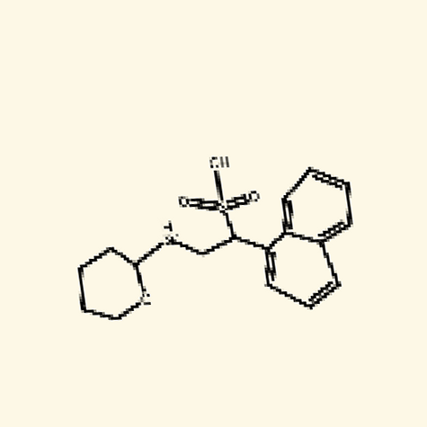 O=S(=O)(O)C(C[SiH2]C1CCCCO1)c1cccc2ccccc12